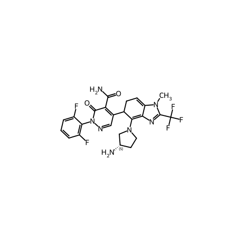 Cn1c(C(F)(F)F)nc2c1=CCC(c1cnn(-c3c(F)cccc3F)c(=O)c1C(N)=O)C=2N1CC[C@H](N)C1